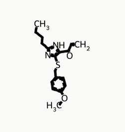 C=CC(=O)c1[nH]c(CCCC)nc1SCc1ccc(OC)cc1